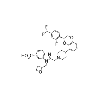 O=C(O)c1ccc2nc(CN3CCC(c4cccc5c4O[C@@H](c4ccc(C(F)F)cc4F)CO5)CC3)n(C[C@@H]3CCO3)c2c1